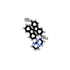 CC(C)(C)c1ccc2c(c1)C1(c3ccccc3-c3ccc(N4CCCN5CCCN=C54)cc31)c1cc(C(C)(C)C)ccc1-2